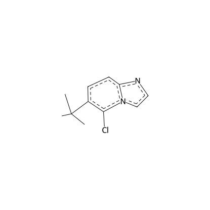 CC(C)(C)c1ccc2nccn2c1Cl